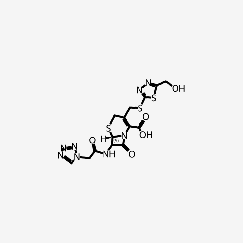 O=C(Cn1cnnn1)NC1C(=O)N2C(C(=O)O)=C(CSc3nnc(CO)s3)CS[C@@H]12